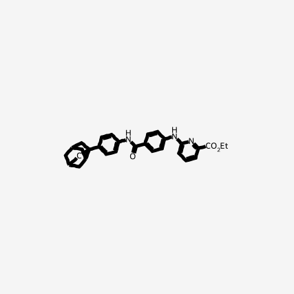 CCOC(=O)c1cccc(Nc2ccc(C(=O)Nc3ccc(C45CC6CC(CC4C6)C5)cc3)cc2)n1